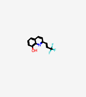 Oc1cccc2ccc(C=CC(F)(F)F)nc12